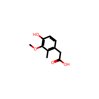 COc1c(O)ccc(CC(=O)O)c1C